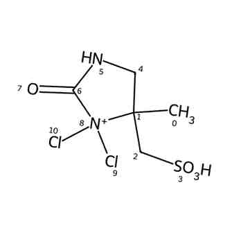 CC1(CS(=O)(=O)O)CNC(=O)[N+]1(Cl)Cl